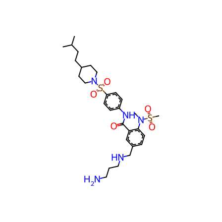 CC(C)CCC1CCN(S(=O)(=O)c2ccc(NC(=O)c3cc(CNCCCN)ccc3N(C)S(C)(=O)=O)cc2)CC1